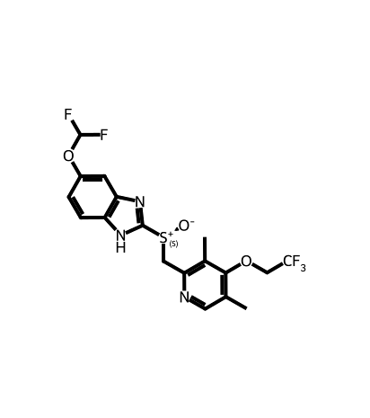 Cc1cnc(C[S@@+]([O-])c2nc3cc(OC(F)F)ccc3[nH]2)c(C)c1OCC(F)(F)F